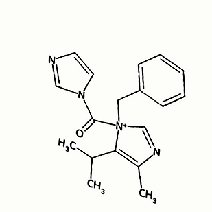 CC1=C(C(C)C)[N+](Cc2ccccc2)(C(=O)n2ccnc2)C=N1